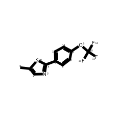 Cc1cnc(-c2ccc(OC(F)(F)F)cc2)s1